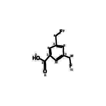 O=C(O)c1cc(CF)cc(CF)c1